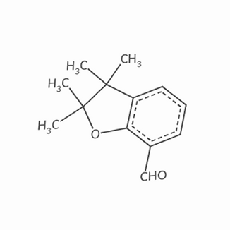 CC1(C)Oc2c(C=O)cccc2C1(C)C